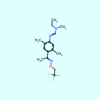 CCN(C)C=Nc1cc(C)c(C(C)=NOCC(F)(F)F)cc1C